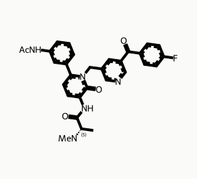 CN[C@@H](C)C(=O)Nc1ccc(-c2cccc(NC(C)=O)c2)n(Cc2cncc(C(=O)c3ccc(F)cc3)c2)c1=O